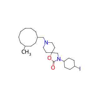 CC1CCCCCCC(CN2CCC3(CC2)CN(C2CCC(I)CC2)C(=O)O3)CC1